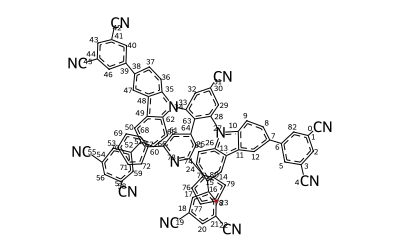 N#Cc1cc(C#N)cc(-c2ccc3c(c2)c2cc(-c4cc(C#N)cc(C#N)c4)ccc2n3-c2cc(C#N)cc(-n3c4ccc(-c5cc(C#N)cc(C#N)c5)cc4c4cc(-c5cc(C#N)cc(C#N)c5)ccc43)c2-c2cc(-c3ccccc3)nc(-c3ccccc3)c2)c1